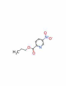 CCCOC(=O)c1ccc([N+](=O)[O-])cn1